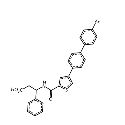 CC(=O)c1ccc(-c2ccc(-c3csc(C(=O)NC(CC(=O)O)c4ccccc4)c3)cc2)cc1